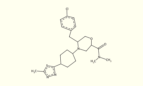 Cc1nnc(C2CCC(N3CC(C(=O)N(C)C)OCC3Cc3ccc(Cl)cc3)CC2)s1